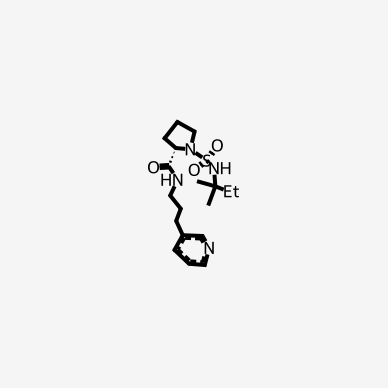 CCC(C)(C)NS(=O)(=O)N1CCC[C@H]1C(=O)NCCCc1cccnc1